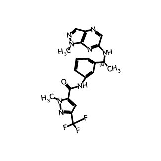 C[C@H](Nc1cnc2cnn(C)c2n1)c1cccc(NC(=O)c2cc(C(F)(F)F)nn2C)c1